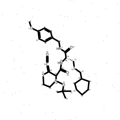 COc1ccc(CNC(=O)[C@H](CSCC2CCCCC2)NC(=O)C2C(=C=O)SCCN2OC(C)(C)C)cc1